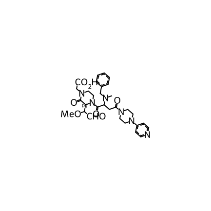 COC(C=O)[C@H]1C(=O)N(CC(=O)O)CCN1C(=O)C(CC(=O)N1CCN(c2ccncc2)CC1)N(C)Cc1ccccc1